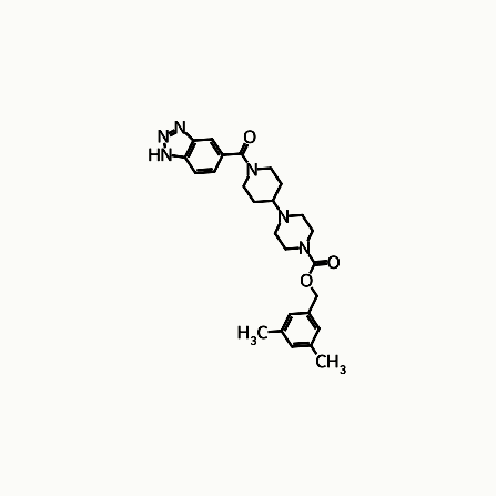 Cc1cc(C)cc(COC(=O)N2CCN(C3CCN(C(=O)c4ccc5[nH]nnc5c4)CC3)CC2)c1